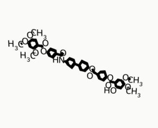 COc1cc(O)c(C(=O)Oc2ccc(C(=O)Oc3ccc(-c4ccc(NC(=O)c5ccc(OC(=O)c6cc(OC)c(OC)cc6OC)cc5)cc4)cc3)cc2)cc1OC